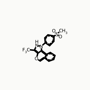 CS(=O)(=O)c1ccc(N2NC(C(F)(F)F)=C3OC=c4ccccc4=C32)cc1